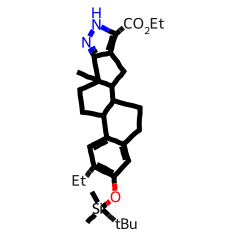 CCOC(=O)c1[nH]nc2c1CC1C3CCc4cc(O[Si](C)(C)C(C)(C)C)c(CC)cc4C3CCC21C